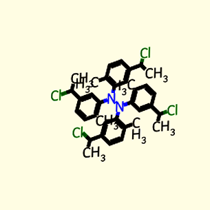 Cc1ccc(C(C)Cl)cc1N(c1cc(C(C)Cl)ccc1C)N(c1cc(C(C)Cl)ccc1C)c1cc(C(C)Cl)ccc1C